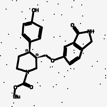 CC(C)(C)OC(=O)N1CC[C@@H](c2ccc(O)cc2)[C@H](COc2ccc3c(c2)C(=O)NC3)C1